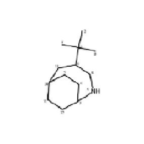 CC(C)(C)C1CNC2CCC(CC2)C1